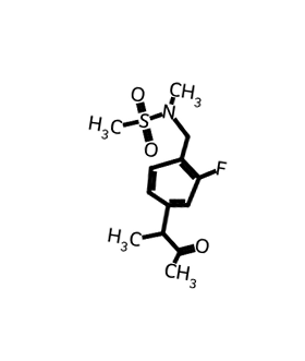 CC(=O)C(C)c1ccc(CN(C)S(C)(=O)=O)c(F)c1